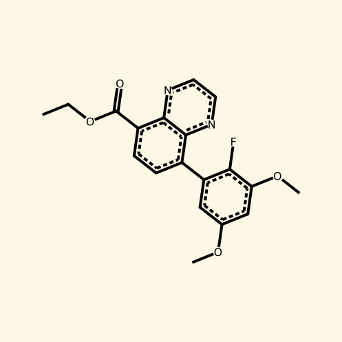 CCOC(=O)c1ccc(-c2cc(OC)cc(OC)c2F)c2nccnc12